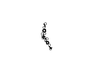 O=C(Oc1ccc(OCC2CO2)cc1)c1cn(C(=O)Oc2ccc(OCC3CO3)cc2)nn1